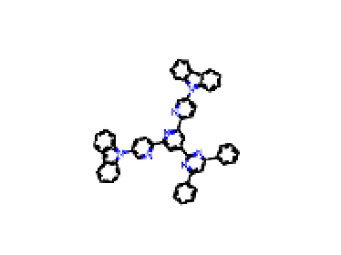 c1ccc(-c2cc(-c3ccccc3)nc(-c3cc(-c4ccc(-n5c6ccccc6c6ccccc65)cn4)nc(-c4ccc(-n5c6ccccc6c6ccccc65)cn4)c3)n2)cc1